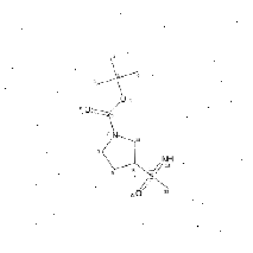 CC(C)(C)OC(=O)N1CCC(S(C)(=N)=O)C1